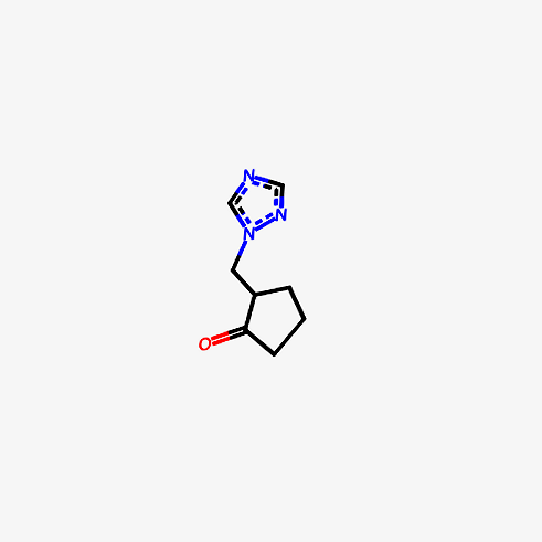 O=C1CCCC1Cn1cncn1